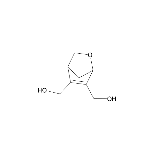 OCC1=C(CO)C2CC1CO2